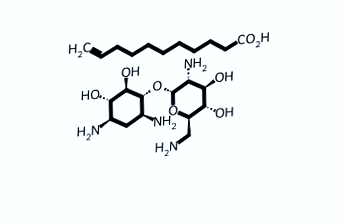 C=CCCCCCCCCC(=O)O.NC[C@H]1O[C@H](O[C@H]2[C@H](O)[C@@H](O)[C@H](N)C[C@@H]2N)[C@H](N)[C@@H](O)[C@@H]1O